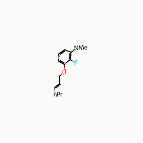 CCCC=CCOc1cccc(NC)c1F